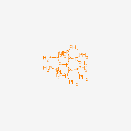 PP(P)P(P(P)P)P(P(P(P)P)P(P)P)P(P(P)P)P(P)P